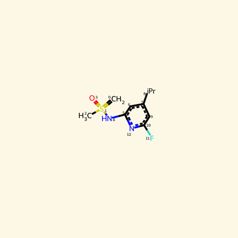 C=S(C)(=O)Nc1cc(C(C)C)cc(F)n1